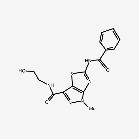 CC(C)(C)n1nc(C(=O)NCCO)c2sc(NC(=O)c3ccccc3)nc21